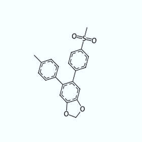 Cc1ccc(-c2cc3c(cc2-c2ccc(S(C)(=O)=O)cc2)OCO3)cc1